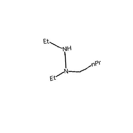 CCCCN(CC)NCC